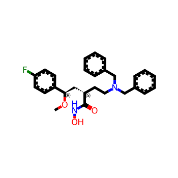 CO[C@H](C[C@H](CCN(Cc1ccccc1)Cc1ccccc1)C(=O)NO)c1ccc(F)cc1